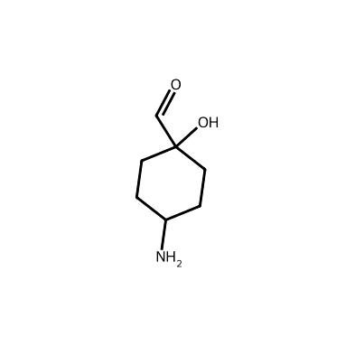 NC1CCC(O)(C=O)CC1